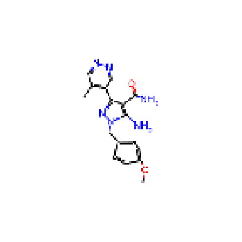 COc1ccc(Cn2nc(-c3cnncc3C)c(C(N)=O)c2N)cc1